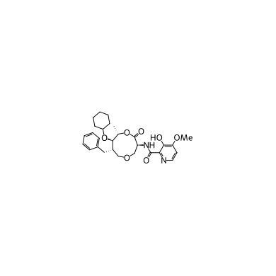 COc1ccnc(C(=O)N[C@H]2COC[C@H](Cc3ccccc3)[C@@H](OC3CCCCC3)[C@H](C)OC2=O)c1O